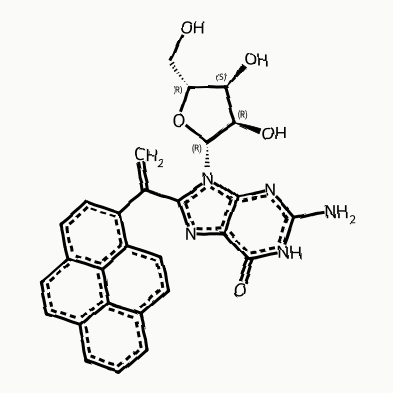 C=C(c1ccc2ccc3cccc4ccc1c2c34)c1nc2c(=O)[nH]c(N)nc2n1[C@@H]1O[C@H](CO)[C@@H](O)[C@H]1O